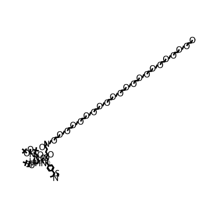 COCCOCCOCCOCCOCCOCCOCCOCCOCCOCCOCCOCCOCCOCCOCCOCCOCCOCCOCCOCCOCCOCCN(C)C(=O)CCC(=O)OC[C@H](NC(=O)[C@@H]1C[C@@H](O[Si](C)(C)C(C)(C)C)CN1C(=O)[C@@H](NC(=O)OC(C)(C)C)C(C)(C)C)c1ccc(-c2scnc2C)cc1